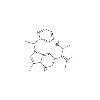 CNC(C)C(C1=CNC2C(C)=CN(C(C)c3ccccn3)C2=C1)=C(C)C